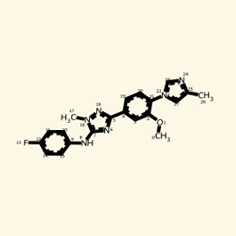 COc1cc(-c2nc(Nc3ccc(F)cc3)n(C)n2)ccc1-n1cnc(C)c1